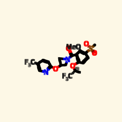 COc1c(S(C)(=O)=O)ccc(O[C@@H](C)C(F)(F)F)c1C(=O)N1CC(Oc2ccc(C(F)(F)F)cn2)C1